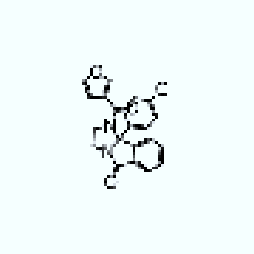 O=C(c1ccoc1)N1CCN2C(=O)c3ccccc3C12c1ccc(Cl)cc1